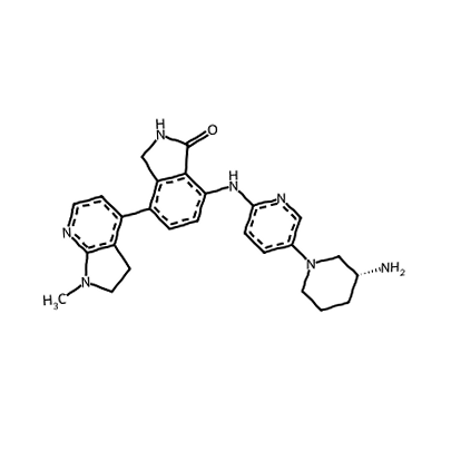 CN1CCc2c(-c3ccc(Nc4ccc(N5CCC[C@@H](N)C5)cn4)c4c3CNC4=O)ccnc21